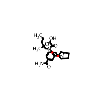 C=CCC(C)(C)CN(CCCN1C2CCC1CC(c1cccc(C(N)=O)c1)C2)C(=O)CO